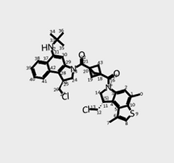 Cc1cc2c(c3c(C)csc13)[C@H](CCl)CN2C(=O)C12CC(C(=O)N3C[C@@H](CCl)c4c3cc(NC(C)(C)C)c3ccccc43)(C1)C2